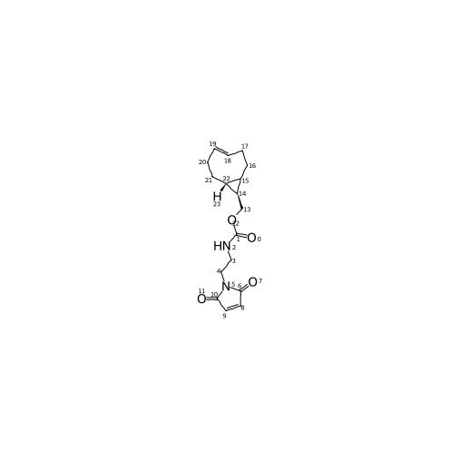 O=C(NCCN1C(=O)C=CC1=O)OC[C@@H]1C2CC/C=C/CC[C@H]21